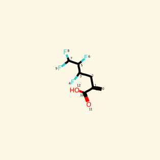 C=C(CC(F)C(F)C(F)F)C(=O)O